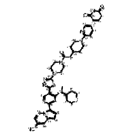 N#Cc1cnn2c(-c3cc(NC4CCOCC4)c(-c4nnc(N5CCN(C(=O)CC6CCN(c7ccc([C@H]8CCC(=O)NC8=O)cn7)CC6)CC5)s4)cn3)ccc2c1